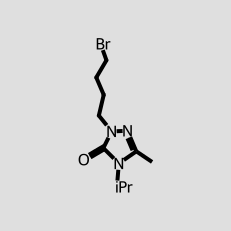 Cc1nn(CCCCBr)c(=O)n1C(C)C